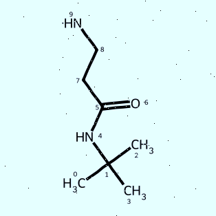 CC(C)(C)NC(=O)CC[NH]